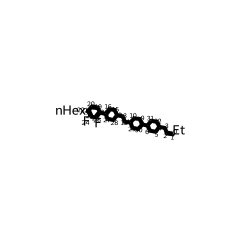 CC/C=C\CC1CCC(C2CCC(CCC3CC=C(c4ccc(CCCCCC)c(F)c4F)CC3)CC2)CC1